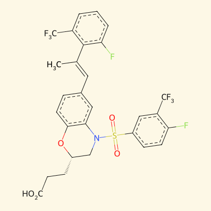 C/C(=C\c1ccc2c(c1)N(S(=O)(=O)c1ccc(F)c(C(F)(F)F)c1)C[C@H](CCC(=O)O)O2)c1c(F)cccc1C(F)(F)F